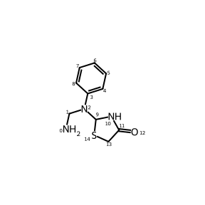 NCN(c1ccccc1)C1NC(=O)CS1